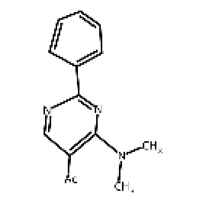 CC(=O)c1cnc(-c2ccccc2)nc1N(C)C